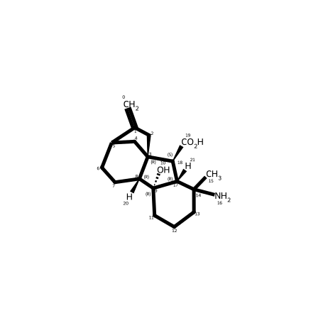 C=C1C[C@]23CC1CC[C@H]2[C@]1(O)CCCC(C)(N)[C@H]1[C@@H]3C(=O)O